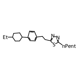 CCCCCc1nnc(CCc2ccc(C3CCC(CC)CC3)cc2)s1